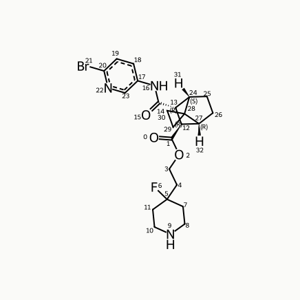 O=C(OCCC1(F)CCNCC1)[C@H]1[C@H](C(=O)Nc2ccc(Br)nc2)[C@@H]2CC[C@H]1C21CC1